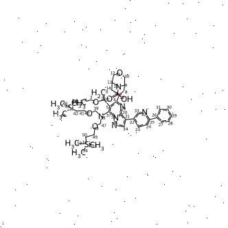 C=C(OCC)c1c(C2CC3COCC(C2)N3C(=O)O)nc2c(-c3ccc(-c4ccccc4)nc3)cnn2c1N(COCC[Si](C)(C)C)COCC[Si](C)(C)C